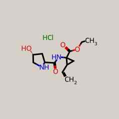 C=CC1CC1(NC(=O)C1C[C@@H](O)CN1)C(=O)OCC.Cl